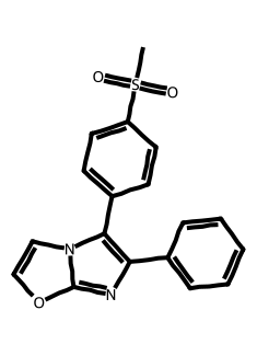 CS(=O)(=O)c1ccc(-c2c(-c3ccccc3)nc3occn23)cc1